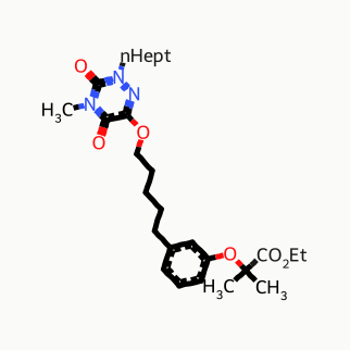 CCCCCCCn1nc(OCCCCCc2cccc(OC(C)(C)C(=O)OCC)c2)c(=O)n(C)c1=O